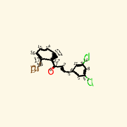 O=C(C=Cc1cc(Cl)cc(Cl)c1)c1ccccc1Br